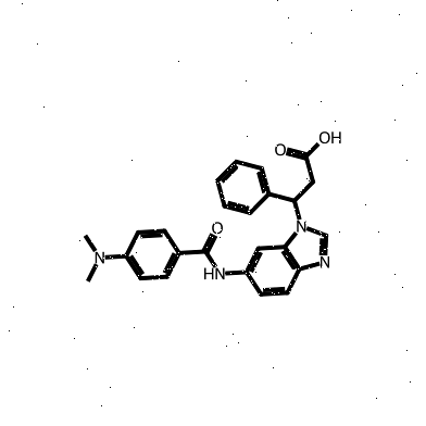 CN(C)c1ccc(C(=O)Nc2ccc3ncn(C(CC(=O)O)c4ccccc4)c3c2)cc1